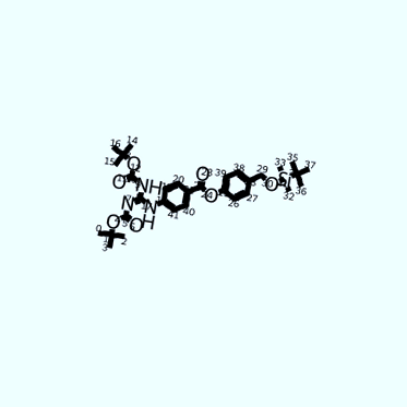 CC(C)(C)OC(=O)/N=C(/NC(=O)OC(C)(C)C)Nc1ccc(C(=O)Oc2ccc(CO[Si](C)(C)C(C)(C)C)cc2)cc1